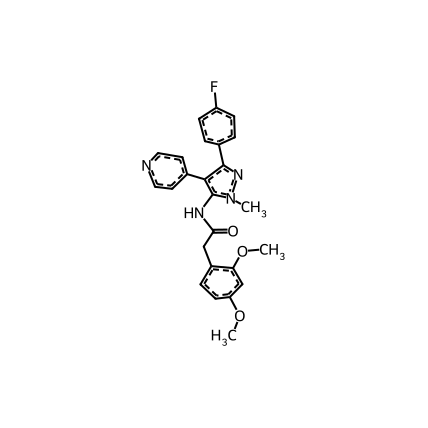 COc1ccc(CC(=O)Nc2c(-c3ccncc3)c(-c3ccc(F)cc3)nn2C)c(OC)c1